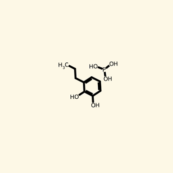 CCCc1cccc(O)c1O.OP(O)O